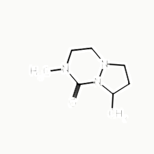 CC1CCN2CCN(C)C(=O)N12